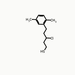 Cc1ccc(C)c(CCC(Cl)CCS)c1